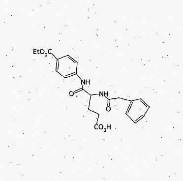 CCOC(=O)c1ccc(NC(=O)C(CCC(=O)O)NC(=O)Cc2ccccc2)cc1